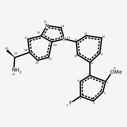 COc1ccc(F)cc1-c1cccc(-n2cnc3cc([C@H](C)N)ccc32)c1